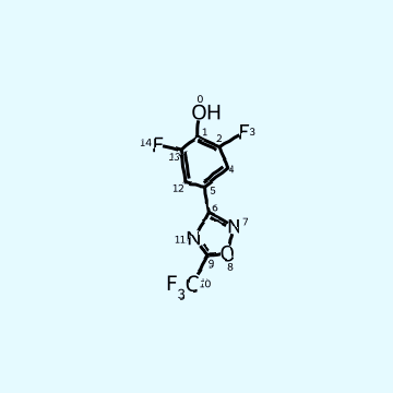 Oc1c(F)cc(-c2noc(C(F)(F)F)n2)cc1F